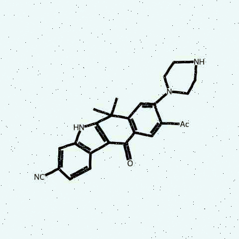 CC(=O)c1cc2c(cc1N1CCNCC1)C(C)(C)c1[nH]c3cc(C#N)ccc3c1C2=O